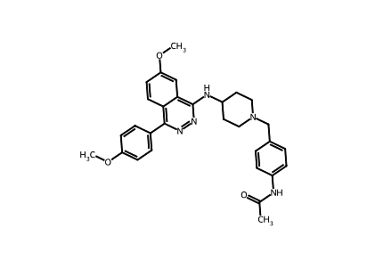 COc1ccc(-c2nnc(NC3CCN(Cc4ccc(NC(C)=O)cc4)CC3)c3cc(OC)ccc23)cc1